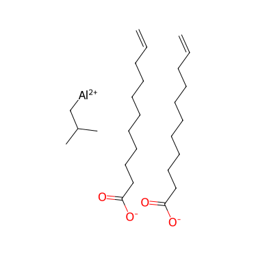 C=CCCCCCCCCC(=O)[O-].C=CCCCCCCCCC(=O)[O-].CC(C)[CH2][Al+2]